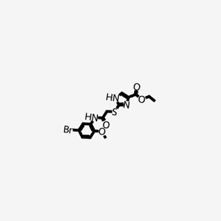 CCOC(=O)c1c[nH]c(SCC(=O)Nc2cc(Br)ccc2OC)n1